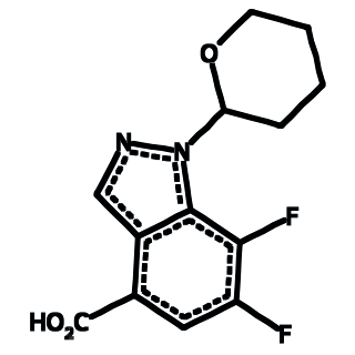 O=C(O)c1cc(F)c(F)c2c1cnn2C1CCCCO1